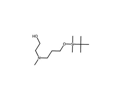 CN(CCO)CCCO[Si](C)(C)C(C)(C)C